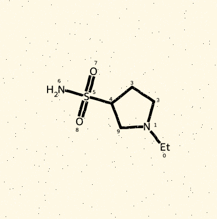 CCN1CCC(S(N)(=O)=O)C1